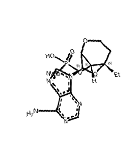 CC[C@@]12CCOC([C@H](n3cnc4c(N)ncnc43)O1)[C@H]2OP(=O)(O)OC